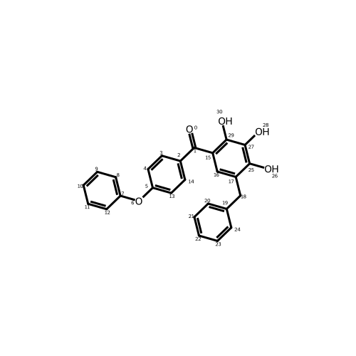 O=C(c1ccc(Oc2ccccc2)cc1)c1cc(Cc2ccccc2)c(O)c(O)c1O